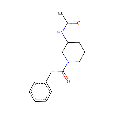 CCC(=O)NC1CCCN(C(=O)Cc2ccccc2)C1